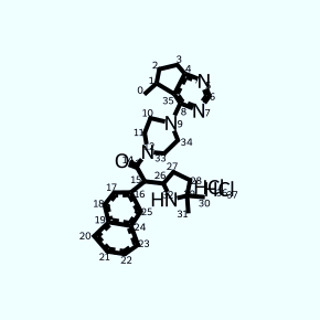 CC1CCc2ncnc(N3CCN(C(=O)C(c4ccc5ccccc5c4)C4CCC(C)(C)N4)CC3)c21.Cl.Cl